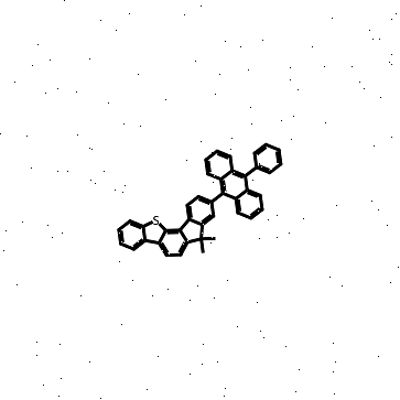 CC1(C)c2cc(-c3c4ccccc4c(-c4ccccc4)c4ccccc34)ccc2-c2c1ccc1c2sc2ccccc21